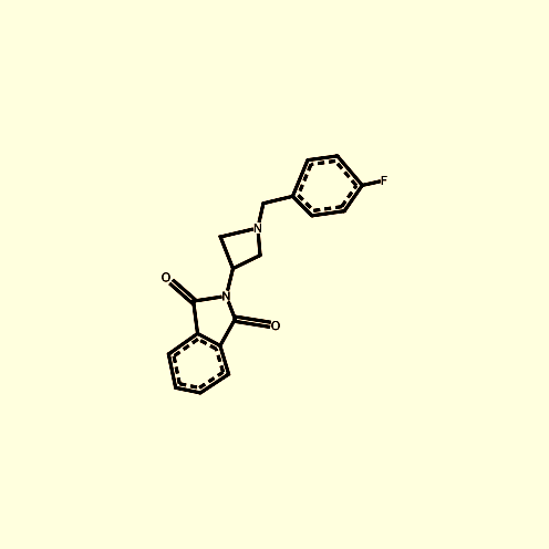 O=C1c2ccccc2C(=O)N1C1CN(Cc2ccc(F)cc2)C1